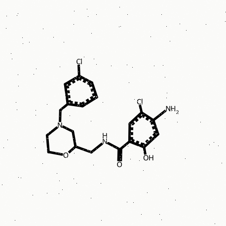 Nc1cc(O)c(C(=O)NCC2CN(Cc3cccc(Cl)c3)CCO2)cc1Cl